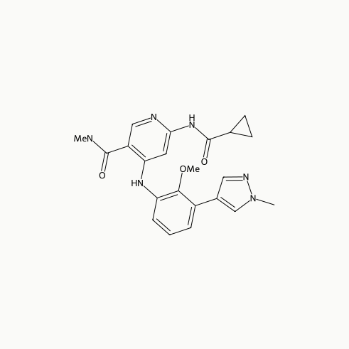 CNC(=O)c1cnc(NC(=O)C2CC2)cc1Nc1cccc(-c2cnn(C)c2)c1OC